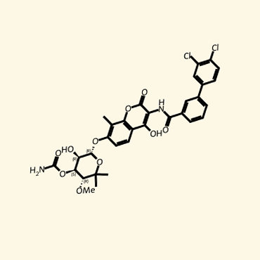 CO[C@@H]1[C@@H](OC(N)=O)[C@@H](O)[C@H](Oc2ccc3c(O)c(NC(=O)c4cccc(-c5ccc(Cl)c(Cl)c5)c4)c(=O)oc3c2C)OC1(C)C